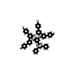 Cc1ccc(-c2ccc3c(c2)c2cc(-c4ccc(C)cc4)ccc2n3-c2cc(-c3nc(-c4ccccc4)cc(-c4ccccc4)n3)cc(-n3c4ccc(-c5ccc(C)cc5)cc4c4cc(-c5ccc(C)cc5)ccc43)c2C#N)cc1